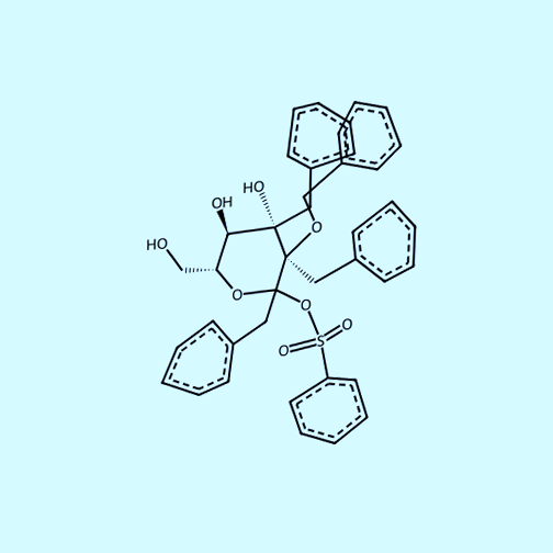 O=S(=O)(OC1(Cc2ccccc2)O[C@H](CO)[C@@H](O)[C@@](O)(Cc2ccccc2)[C@@]1(Cc1ccccc1)OCc1ccccc1)c1ccccc1